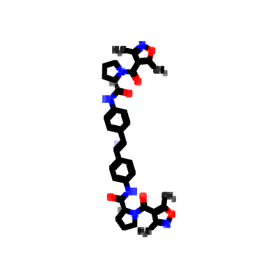 Cc1noc(C)c1C(=O)N1CCC[C@H]1C(=O)Nc1ccc(/C=C/c2ccc(NC(=O)[C@@H]3CCCN3C(=O)c3c(C)noc3C)cc2)cc1